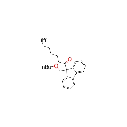 CCCCOCC1(C(=O)CCCCCC(C)C)c2ccccc2-c2ccccc21